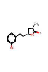 C[C@@H]1C[C@H]([CH]Cc2cccc(O)c2)OC1=O